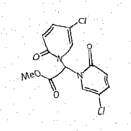 COC(=O)C(n1cc(Cl)ccc1=O)n1cc(Cl)ccc1=O